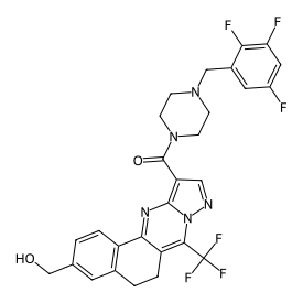 O=C(c1cnn2c(C(F)(F)F)c3c(nc12)-c1ccc(CO)cc1CC3)N1CCN(Cc2cc(F)cc(F)c2F)CC1